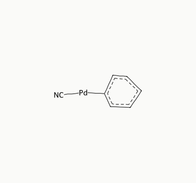 N#[C][Pd][c]1ccccc1